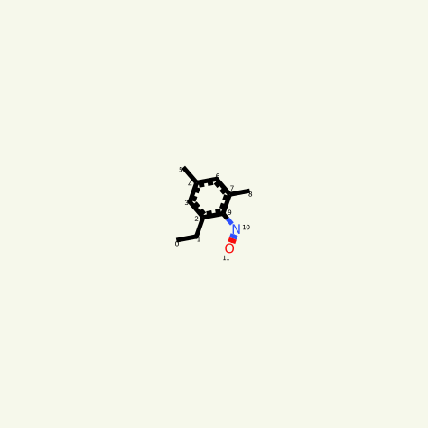 CCc1cc(C)cc(C)c1N=O